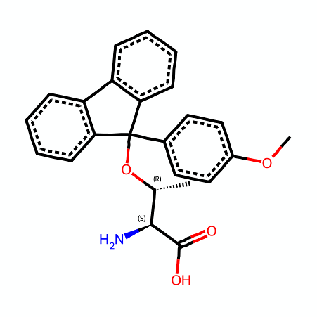 COc1ccc(C2(O[C@H](C)[C@H](N)C(=O)O)c3ccccc3-c3ccccc32)cc1